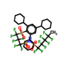 CC(F)(F)C(F)(F)C(F)(F)C(F)(F)S(=O)(=O)NS(=O)(=O)C(F)(F)C(F)(F)C(F)(F)S(=O)(=O)c1c(C2CCCCC2)cc(C2CCCCC2)cc1C1CCCCC1